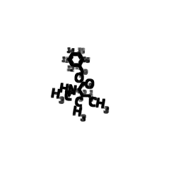 CC[C@H](C)[C@H](NC)C(=O)OCc1ccccc1